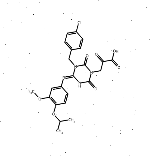 COc1cc(/N=c2\[nH]c(=O)n(CC(=O)C(=O)O)c(=O)n2Cc2ccc(Cl)cc2)ccc1OC(C)C